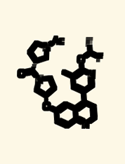 CC(=O)N1CC[C@@H](C(=O)N2CC[C@H](Oc3ccc4nccc(-c5cnc(OC(F)F)c(C)c5)c4c3)C2)C1